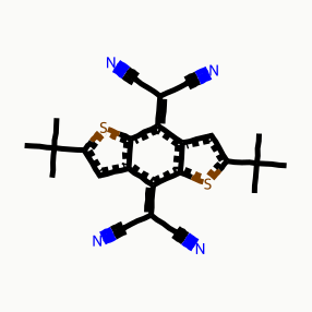 CC(C)(C)c1cc2c(=C(C#N)C#N)c3sc(C(C)(C)C)cc3c(=C(C#N)C#N)c2s1